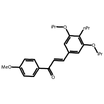 CCCc1c(OC(C)C)cc(/C=C/C(=O)c2ccc(OC)cc2)cc1OC(C)C